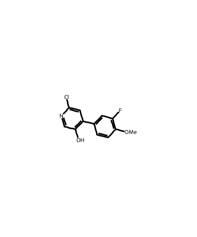 COc1ccc(-c2cc(Cl)ncc2O)cc1F